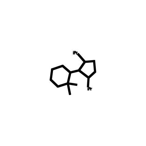 CC(C)C1CCC(C(C)C)C1[C]1CCCCC1(C)C